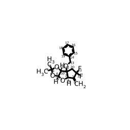 C=C1[C@H]2O[C@@H]3OC(C)(C)O[C@@H]3C2(OCc2ccccc2)CC1(F)F